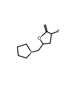 C=C1OC(CP2CCCC2)CC1F